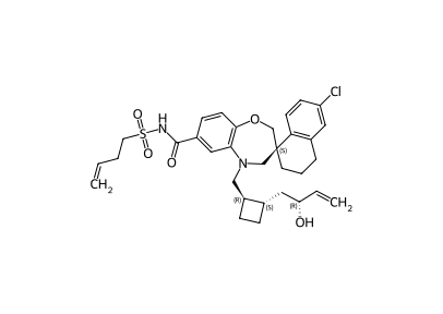 C=CCCS(=O)(=O)NC(=O)c1ccc2c(c1)N(C[C@@H]1CC[C@H]1C[C@@H](O)C=C)C[C@@]1(CCCc3cc(Cl)ccc31)CO2